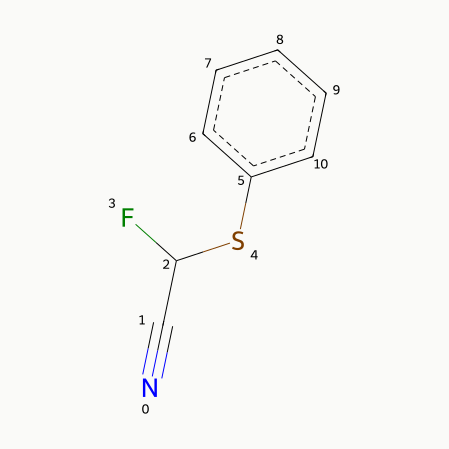 N#CC(F)Sc1ccccc1